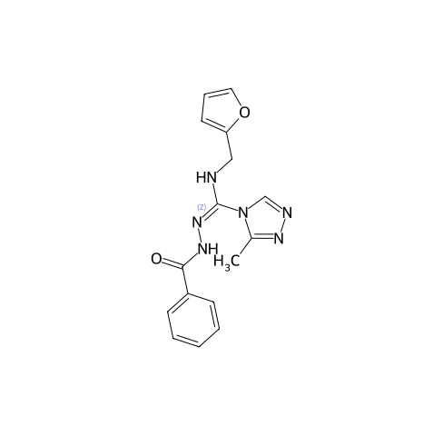 Cc1nncn1/C(=N\NC(=O)c1ccccc1)NCc1ccco1